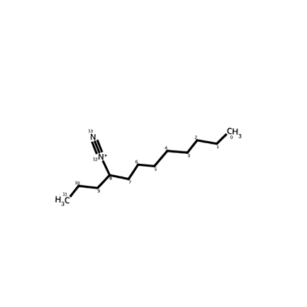 CCCCCCCCC(CCC)[N+]#N